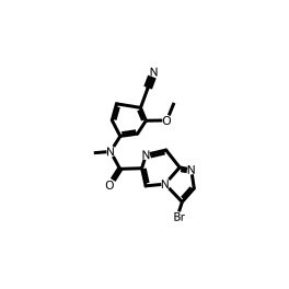 COc1cc(N(C)C(=O)c2cn3c(Br)cnc3cn2)ccc1C#N